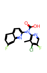 Cc1c(N(C(=O)O)c2ccc3ccc(F)cc3n2)ncc(F)c1Cl